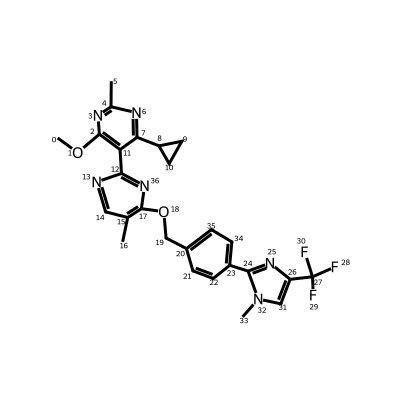 COc1nc(C)nc(C2CC2)c1-c1ncc(C)c(OCc2ccc(-c3nc(C(F)(F)F)cn3C)cc2)n1